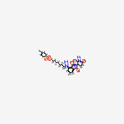 Cc1ccc(S(=O)(=O)OCCCCCCCCNc2cccc3c2C(=O)N(C2CCC(=O)NC2=O)C3=O)cc1